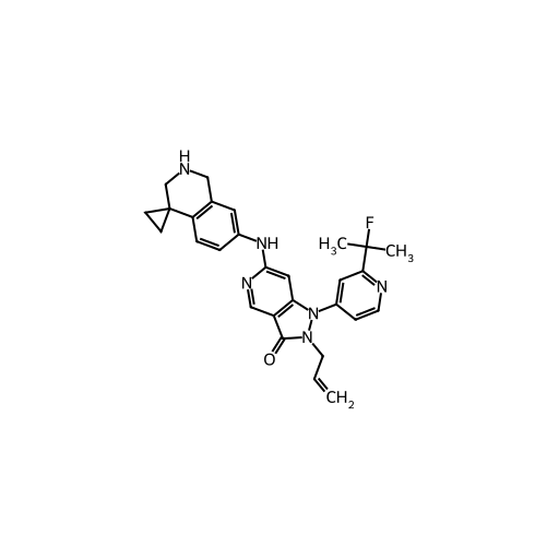 C=CCn1c(=O)c2cnc(Nc3ccc4c(c3)CNCC43CC3)cc2n1-c1ccnc(C(C)(C)F)c1